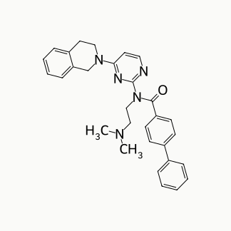 CN(C)CCN(C(=O)c1ccc(-c2ccccc2)cc1)c1nccc(N2CCc3ccccc3C2)n1